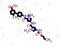 CCCCOC(=O)Nc1cc(C(=O)Nc2cc(C(=O)Nc3ccc(-c4cc(C(=O)O)ccc4C)cc3)n(C)c2)n(C)c1